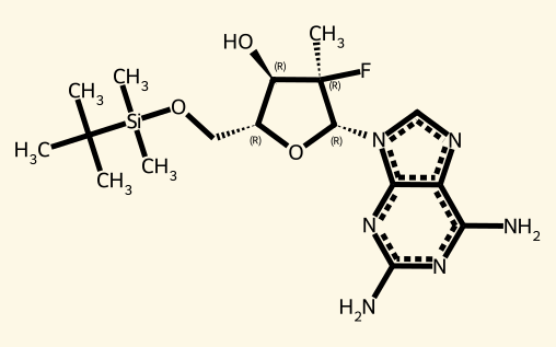 CC(C)(C)[Si](C)(C)OC[C@H]1O[C@@H](n2cnc3c(N)nc(N)nc32)[C@](C)(F)[C@@H]1O